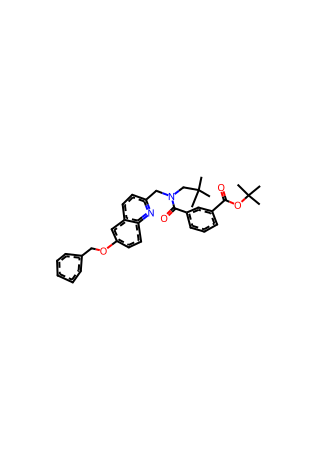 CC(C)(C)CN(Cc1ccc2cc(OCc3ccccc3)ccc2n1)C(=O)c1cccc(C(=O)OC(C)(C)C)c1